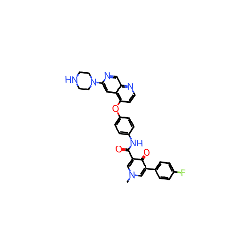 Cn1cc(C(=O)Nc2ccc(Oc3ccnc4cnc(N5CCNCC5)cc34)cc2)c(=O)c(-c2ccc(F)cc2)c1